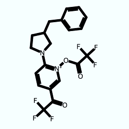 O=C(O[n+]1cc(C(=O)C(F)(F)F)ccc1N1CCC(Cc2ccccc2)C1)C(F)(F)F